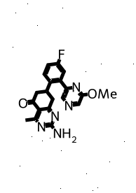 COc1cncc(-c2cc(F)ccc2C2CC(=O)c3c(C)nc(N)nc3C2)n1